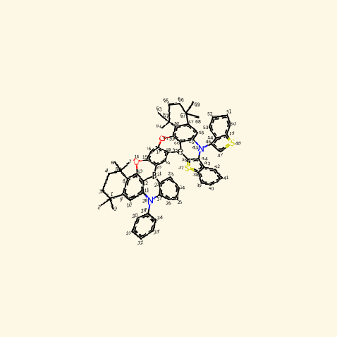 CC1(C)CCC(C)(C)c2c1cc1c3c2Oc2cc4c(cc2B3c2ccccc2N1c1ccccc1)B1c2sc3ccccc3c2N(c2csc3ccccc23)c2cc3c(c(c21)O4)C(C)(C)CCC3(C)C